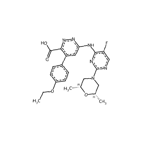 CCOc1ccc(-c2cc(Nc3nc(N4C[C@@H](C)O[C@@H](C)C4)ncc3F)nnc2C(=O)O)cc1